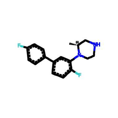 C[C@@H]1CNCCN1c1cc(-c2ccc(F)cc2)ccc1F